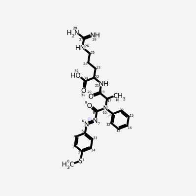 CSc1ccc(/N=N/C(=O)N(c2ccccc2)C(C)C(=O)NC(CCCNC(=N)N)C(=O)O)cc1